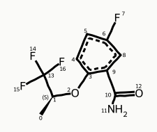 C[C@H](Oc1ccc(F)cc1C(N)=O)C(F)(F)F